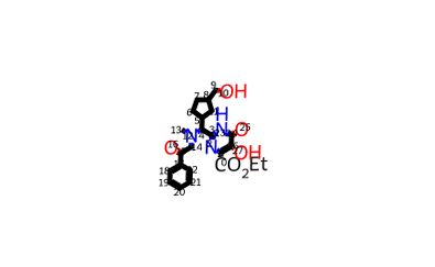 CCOC(=O)c1nc(C(C2CCC(CO)C2)N(C)CC(=O)c2ccccc2)[nH]c(=O)c1O